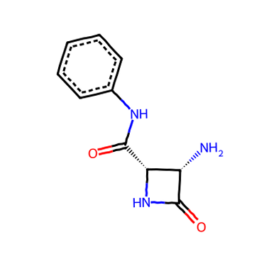 N[C@@H]1C(=O)N[C@@H]1C(=O)Nc1ccccc1